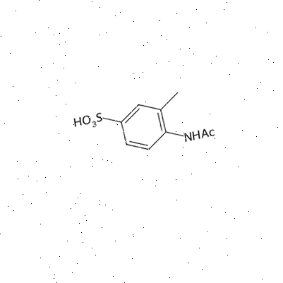 CC(=O)Nc1ccc(S(=O)(=O)O)cc1C